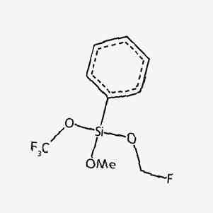 CO[Si](OCF)(OC(F)(F)F)c1ccccc1